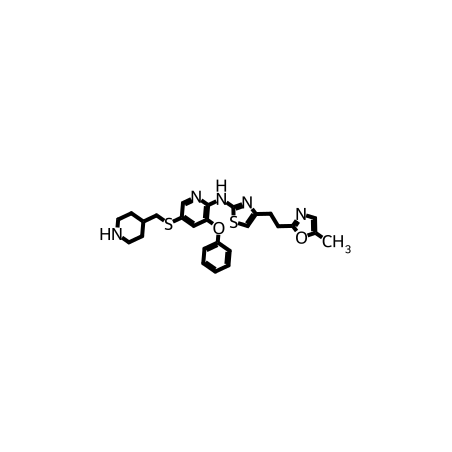 Cc1cnc(CCc2csc(Nc3ncc(SCC4CCNCC4)cc3Oc3ccccc3)n2)o1